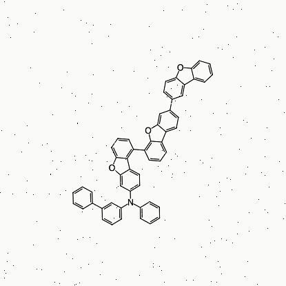 c1ccc(-c2cccc(N(c3ccccc3)c3ccc4c(c3)oc3cccc(-c5cccc6c5oc5cc(-c7ccc8oc9ccccc9c8c7)ccc56)c34)c2)cc1